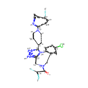 O=C(C(F)F)N1Cc2cc(Cl)ccc2-n2c(nnc2C2CCN(c3ccc(F)cn3)CC2)C1